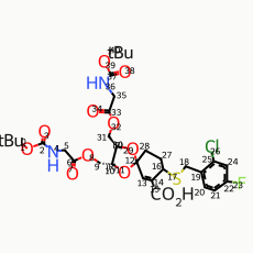 CC(C)(C)OC(=O)NCC(=O)OC[C@H]1OC2(C=C(C(=O)O)C(SCc3ccc(F)cc3Cl)CC2)O[C@@H]1COC(=O)CNC(=O)OC(C)(C)C